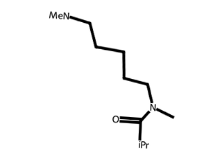 CNCCCCCN(C)C(=O)C(C)C